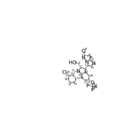 COc1nn2c(-c3c(CO)n(Cc4ccccc4Cl)c4ccc(OC(F)(F)F)cc34)cnc2s1